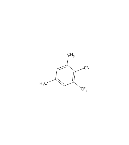 Cc1cc(C)c(C#N)c(C(F)(F)F)c1